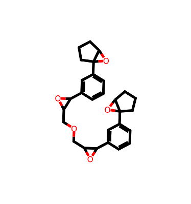 c1cc(C2OC2COCC2OC2c2cccc(C34CCCC3O4)c2)cc(C23CCCC2O3)c1